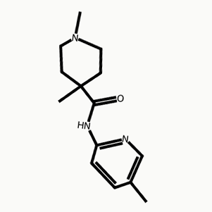 Cc1ccc(NC(=O)C2(C)CCN(C)CC2)nc1